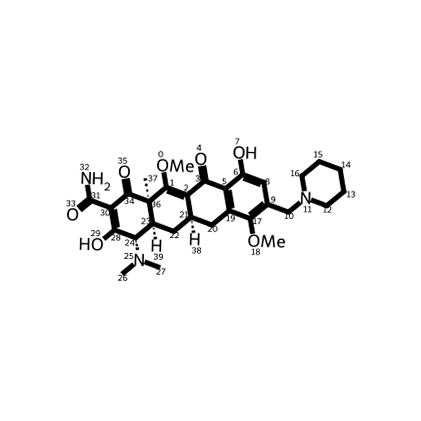 COC1=C2C(=O)c3c(O)cc(CN4CCCCC4)c(OC)c3C[C@H]2C[C@H]2[C@H](N(C)C)C(O)=C(C(N)=O)C(=O)[C@@]12C